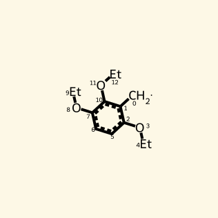 [CH2]c1c(OCC)ccc(OCC)c1OCC